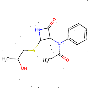 CC(=O)N(c1ccccc1)C1C(=O)NC1SCC(C)O